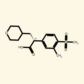 Cc1cc([C@@H](CC2CCOCC2)C(=O)O)ccc1S(C)(=O)=O